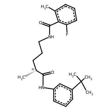 Cc1cccc(F)c1C(=O)NCCC[C@@H](C)C(=O)Nc1cccc(C(C)(C)C)c1